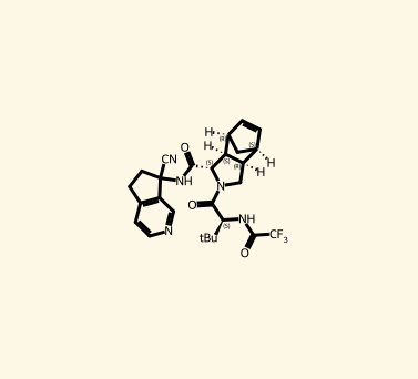 CC(C)(C)[C@H](NC(=O)C(F)(F)F)C(=O)N1C[C@H]2[C@@H]([C@H]1C(=O)NC1(C#N)CCc3ccncc31)[C@H]1C=C[C@@H]2C1